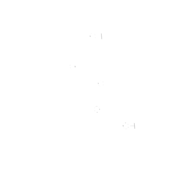 CCCCOCCOCCCC.OCCOCCO